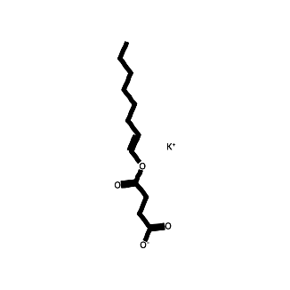 CCCCCC/C=C/OC(=O)CCC(=O)[O-].[K+]